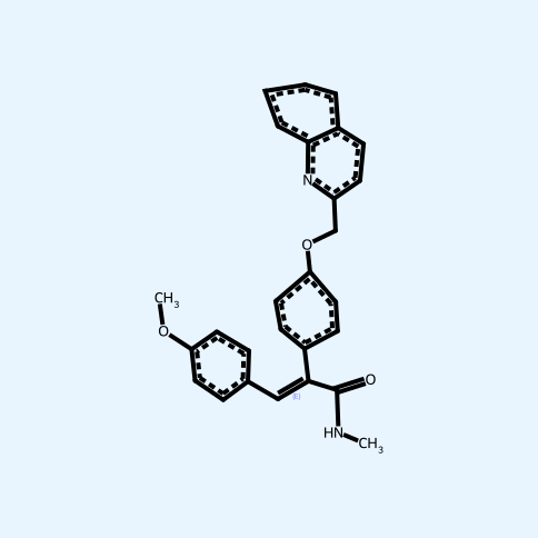 CNC(=O)/C(=C/c1ccc(OC)cc1)c1ccc(OCc2ccc3ccccc3n2)cc1